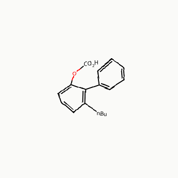 CCCCc1cccc(OC(=O)O)c1-c1ccccc1